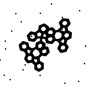 c1ccc(-n2c3ccccc3c3ccc4c5ccccc5n(-c5ccc(C6(c7cccc(-n8c9ccccc9c9ccc%10c%11ccccc%11n(-c%11ccccc%11)c%10c98)c7)c7ccccc7-c7ccccc76)cc5)c4c32)cc1